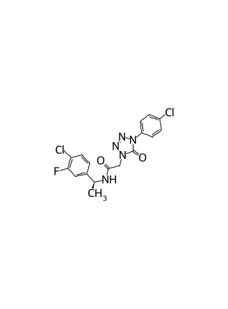 C[C@H](NC(=O)Cn1nnn(-c2ccc(Cl)cc2)c1=O)c1ccc(Cl)c(F)c1